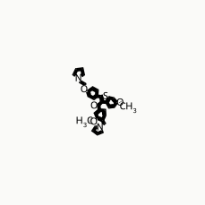 COc1ccc2c(C(=O)c3ccc(CN4CCCC4)c(OC)c3)c(-c3ccc(OCCN4CCCC4)cc3)sc2c1